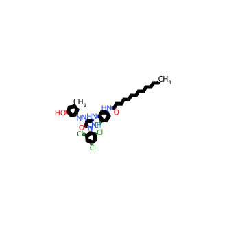 CCCCCCCCCCCCCC(=O)Nc1ccc(Cl)c(Nc2[nH]n(-c3c(Cl)cc(Cl)cc3Cl)c(=O)c2N=Nc2cc(C)cc(O)c2)c1